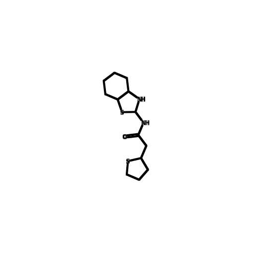 O=C(CC1CCCS1)NC1NC2CCCCC2S1